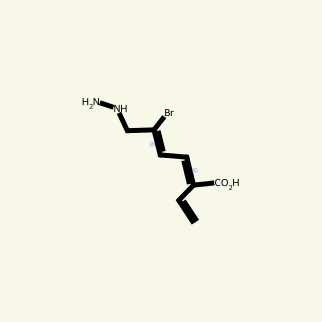 C=C/C(=C\C=C(/Br)CNN)C(=O)O